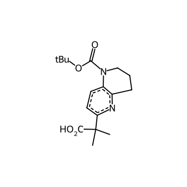 CC(C)(C)OC(=O)N1CCCc2nc(C(C)(C)C(=O)O)ccc21